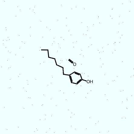 C=O.CCCCCCCc1ccc(O)cc1